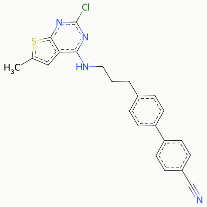 Cc1cc2c(NCCCc3ccc(-c4ccc(C#N)cc4)cc3)nc(Cl)nc2s1